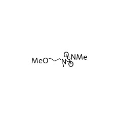 CNS(=O)(=O)N(C)CCCOC